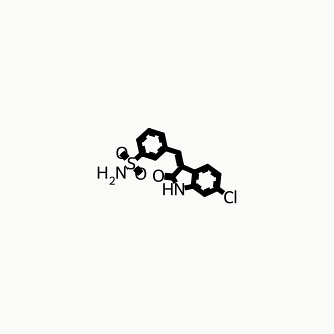 NS(=O)(=O)c1cccc(/C=C2\C(=O)Nc3cc(Cl)ccc32)c1